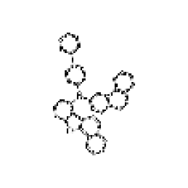 c1ccc(-c2ccc(N(c3ccc4ccc5ccccc5c4c3)c3cccc4oc5c6ccccc6ccc5c34)cc2)cc1